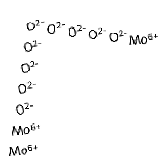 [Mo+6].[Mo+6].[Mo+6].[O-2].[O-2].[O-2].[O-2].[O-2].[O-2].[O-2].[O-2].[O-2]